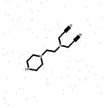 N#CCN(CC#N)CCN1CCNCC1